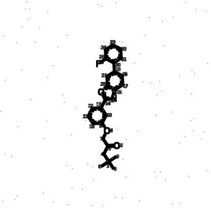 CC(C)(C)CC(=O)COc1cccc(-c2nc3ccc(-c4ccccc4F)cc3o2)c1